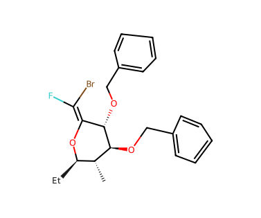 CC[C@H]1OC(=C(F)Br)[C@H](OCc2ccccc2)[C@@H](OCc2ccccc2)[C@@H]1C